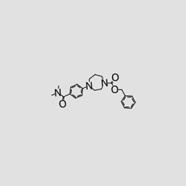 CN(C)C(=O)c1ccc(N2CCCN(C(=O)OCc3ccccc3)CC2)cc1